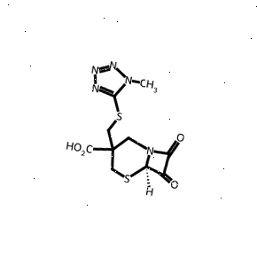 Cn1nnnc1SCC1(C(=O)O)CS[C@@H]2C(=O)C(=O)N2C1